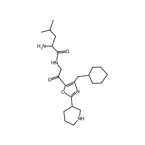 CC(C)CC(N)C(=O)NCC(=O)c1oc(C2CCCNC2)nc1CC1CCCCC1